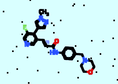 Cn1cc(-c2c(F)cncc2/C=C/C(=O)Nc2ccc(CN3CCOCC3)cc2)cn1